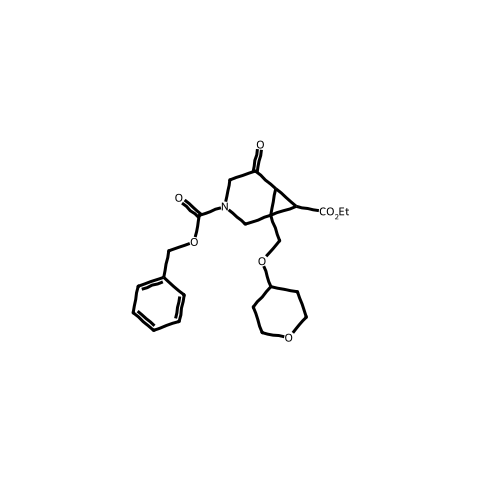 CCOC(=O)C1C2C(=O)CN(C(=O)OCc3ccccc3)CC21COC1CCOCC1